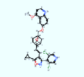 CC(C)Oc1ccnc2ccc(OCC34CCC(C=Cc5c(-c6c(Cl)cncc6Cl)noc5C5CC5)(CC3)CO4)cc12